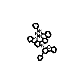 c1ccc(-c2cc(-n3c4ccccc4c4c3ccc3c5ccccc5n(-c5nc(-c6ccccc6)nc(-c6ccccc6)n5)c34)c3oc4ccccc4c3c2)cc1